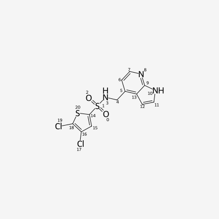 O=S(=O)(NCc1ccnc2[nH]ccc12)c1cc(Cl)c(Cl)s1